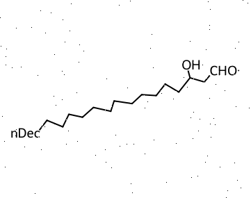 CCCCCCCCCCCCCCCCCCCCCCC(O)C[C]=O